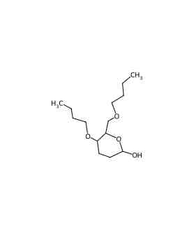 CCCCOCC1OC(O)CCC1OCCCC